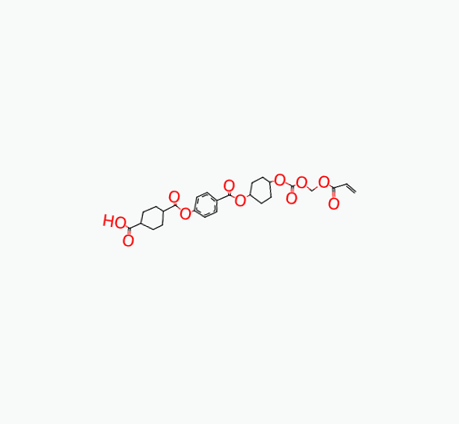 C=CC(=O)OCOC(=O)OC1CCC(OC(=O)c2ccc(OC(=O)C3CCC(C(=O)O)CC3)cc2)CC1